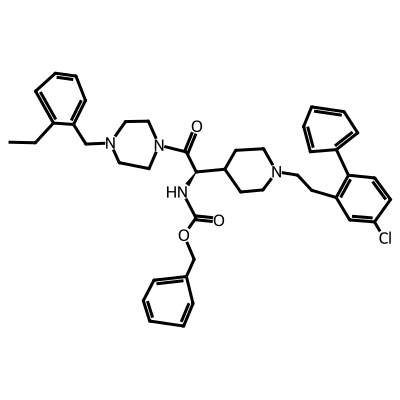 CCc1ccccc1CN1CCN(C(=O)[C@H](NC(=O)OCc2ccccc2)C2CCN(CCc3cc(Cl)ccc3-c3ccccc3)CC2)CC1